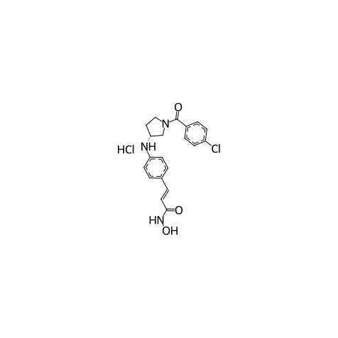 Cl.O=C(/C=C/c1ccc(N[C@@H]2CCN(C(=O)c3ccc(Cl)cc3)C2)cc1)NO